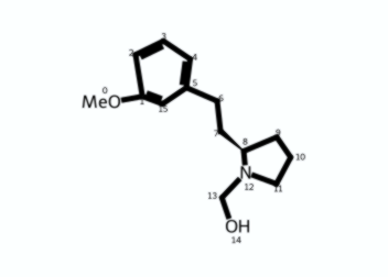 COc1cccc(CC[C@H]2CCCN2CO)c1